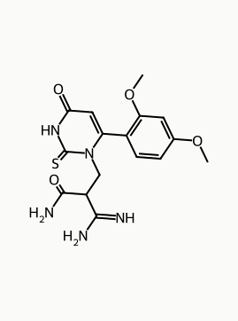 COc1ccc(-c2cc(=O)[nH]c(=S)n2CC(C(=N)N)C(N)=O)c(OC)c1